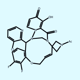 CC(=O)N1CC2(/C=C/COc3c(ccc(F)c3F)C(c3ncccc3Cl)N3CN2C(=O)c2c(O)c(=O)ccn23)C1